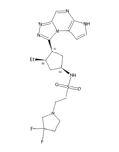 CC[C@@H]1C[C@H](NS(=O)(=O)CCN2CCC(F)(F)C2)C[C@@H]1c1nnc2cnc3[nH]ccc3n12